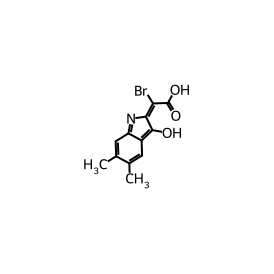 Cc1cc2c(cc1C)=C(O)C(=C(Br)C(=O)O)N=2